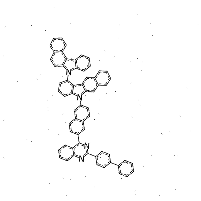 c1ccc(-c2ccc(-c3nc(-c4ccc5cc(-n6c7cc8ccccc8cc7c7c(-n8c9ccccc9c9c%10ccccc%10ccc98)cccc76)ccc5c4)c4ccccc4n3)cc2)cc1